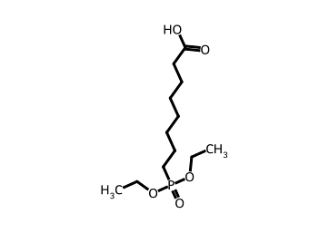 CCOP(=O)(CCCCCCCC(=O)O)OCC